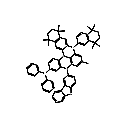 Cc1cc2c3c(c1)N(c1ccc4c(c1)C(C)(C)CCC4(C)C)c1cc4c(cc1B3c1ccc(N(c3ccccc3)c3ccccc3)cc1N2c1ccc2sc3ccccc3c2c1)C(C)(C)CCC4(C)C